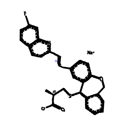 C[C@@H](CSC1c2ccccc2COc2ccc(/C=C/c3ccc4ccc(F)cc4n3)cc21)C(=O)[O-].[Na+]